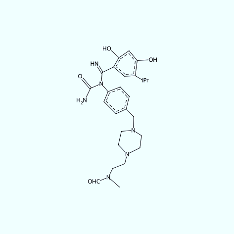 CC(C)c1cc(C(=N)N(C(N)=O)c2ccc(CN3CCN(CCN(C)C=O)CC3)cc2)c(O)cc1O